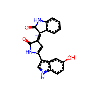 O=C1NC(c2c[nH]c3ccc(O)cc23)=C/C1=C1/C(=O)Nc2ccccc21